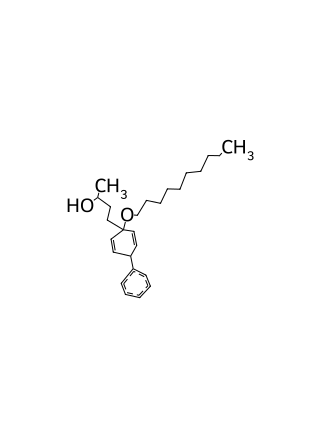 CCCCCCCCCCOC1(CCC(C)O)C=CC(c2ccccc2)C=C1